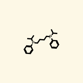 CC(C)P(CCCCP(c1ccccc1)C(C)C)c1ccccc1